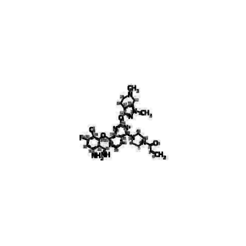 C=CC(=O)N1CCN(c2nc(Oc3nn(C)c4c3CCN(C)C4)nc3c(Oc4c(Cl)c(F)cc(N)c4C=N)nccc23)CC1